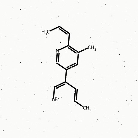 CC=C/C(=C\CCC)c1cnc(/C=C\C)c(C)c1